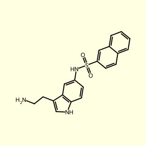 NCCc1c[nH]c2ccc(NS(=O)(=O)c3ccc4ccccc4c3)cc12